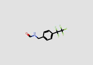 O=CNCc1ccc(C(F)(F)C(F)(F)F)cc1